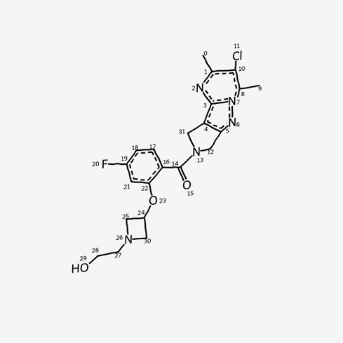 Cc1nc2c3c(nn2c(C)c1Cl)CN(C(=O)c1ccc(F)cc1OC1CN(CCO)C1)C3